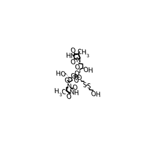 Cc1cn([C@H]2C[C@@H](O)[C@@H](COP(=O)(OCCSSCCO)O[C@@H]3C[C@H](n4cc(C)c(=O)[nH]c4=O)O[C@@H]3CO)O2)c(=O)[nH]c1=O